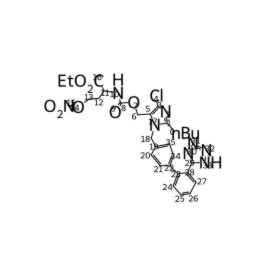 CCCCc1nc(Cl)c(COC(=O)NC(CCO[N+](=O)[O-])C(=O)OCC)n1Cc1ccc(-c2ccccc2-c2nnn[nH]2)cc1